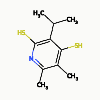 Cc1nc(S)c(C(C)C)c(S)c1C